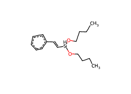 CCCCO[SiH](C=Cc1ccccc1)OCCCC